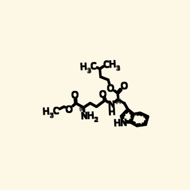 CCOC(=O)[C@H](N)CCC(=O)N[C@H](Cc1c[nH]c2ccccc12)C(=O)OCCC(C)C